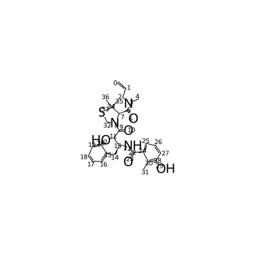 C=CCN(C)C(=O)[C@H]1N(C(=O)[C@@H](O)[C@H](Cc2ccccc2)NC(=O)c2cccc(O)c2C)CSC1(C)C